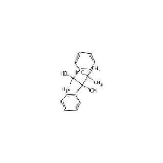 CC(C)(C)C(O)(c1ccccc1)C(C)(O)c1ccccc1